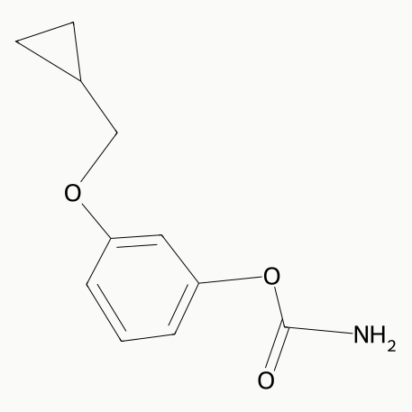 NC(=O)Oc1cccc(OCC2CC2)c1